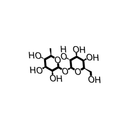 C[C@H]1OC(O[C@@H]2O[C@H](CO)[C@H](O)[C@H](O)[C@H]2O)[C@@H](O)[C@@H](O)[C@@H]1O